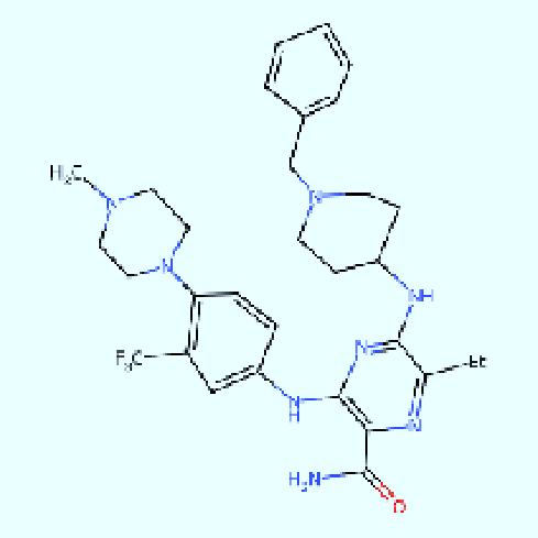 CCc1nc(C(N)=O)c(Nc2ccc(N3CCN(C)CC3)c(C(F)(F)F)c2)nc1NC1CCN(Cc2ccccc2)CC1